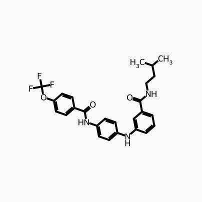 CC(C)CCNC(=O)c1cccc(Nc2ccc(NC(=O)c3ccc(OC(F)(F)F)cc3)cc2)c1